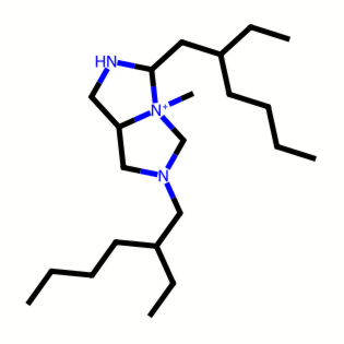 CCCCC(CC)CC1NCC2CN(CC(CC)CCCC)C[N+]21C